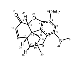 COc1cc(N(C)C)c2c3c1O[C@H]1C(=O)C=C[C@H]4[C@@H](C2)N(C)CC[C@]314